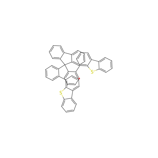 c1ccc2c(c1)-c1ccccc1C2(c1ccccc1-c1cccc2c1sc1ccccc12)c1ccccc1-c1cccc2c1sc1ccccc12